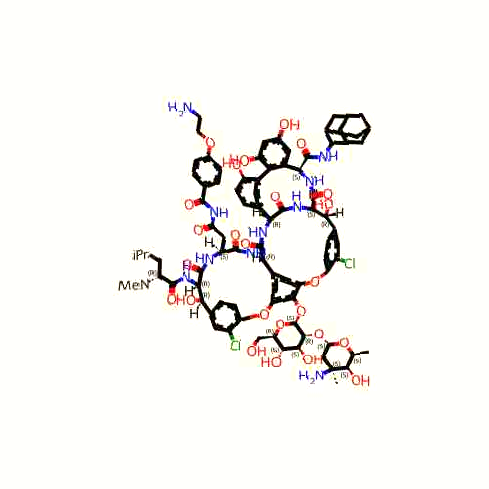 CN[C@H](CC(C)C)C(=O)N[C@H]1C(=O)N[C@@H](CC(=O)NC(=O)c2ccc(OCCN)cc2)C(=O)N[C@H]2C(=O)N[C@H]3C(=O)N[C@H](C(=O)N[C@H](C(=O)NC4C5CC6CC(C5)CC4C6)c4cc(O)cc(O)c4-c4cc3ccc4O)[C@H](O)c3ccc(c(Cl)c3)Oc3cc2cc(c3O[C@@H]2O[C@H](CO)[C@@H](O)[C@H](O)[C@H]2O[C@H]2C[C@](C)(N)[C@H](O)[C@H](C)O2)Oc2ccc(cc2Cl)[C@H]1O